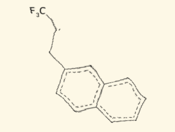 FC(F)(F)[CH]Cc1ccc2ccccc2c1